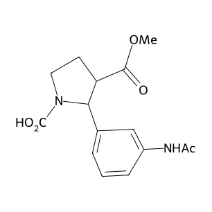 COC(=O)C1CCN(C(=O)O)C1c1cccc(NC(C)=O)c1